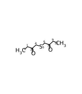 CCC(=O)CSCC(=O)CC